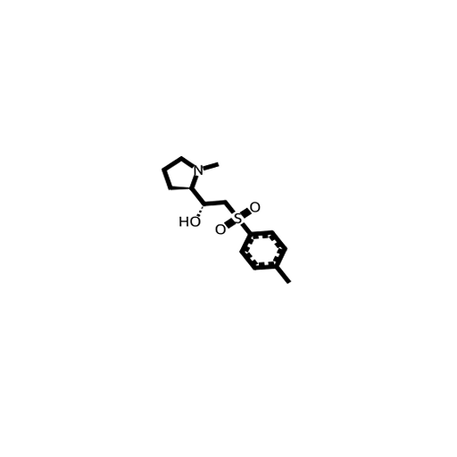 Cc1ccc(S(=O)(=O)C[C@H](O)[C@H]2CCCN2C)cc1